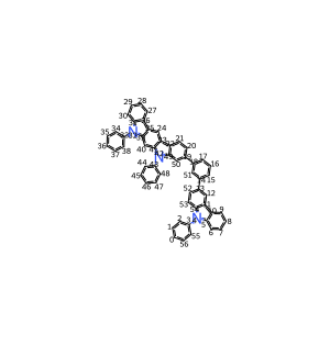 c1ccc(-n2c3ccccc3c3cc(-c4cccc(-c5ccc6c7cc8c9ccccc9n(-c9ccccc9)c8cc7n(-c7ccccc7)c6c5)c4)ccc32)cc1